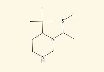 CSC(C)N1CNCCC1C(C)(C)C